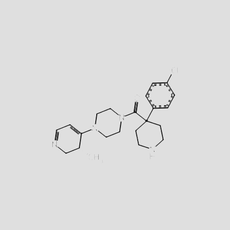 C[C@@H]1CN=CC=C1N1CCN(C(=O)C2(c3ccc(Cl)cc3)CCNCC2)CC1